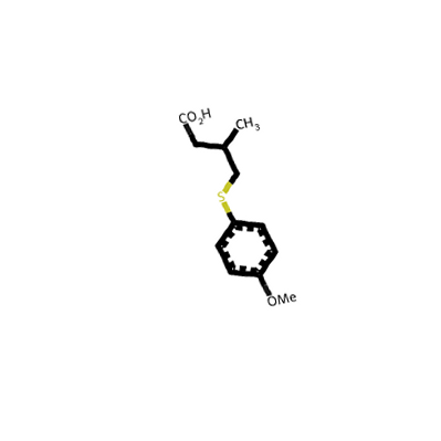 COc1ccc(SCC(C)CC(=O)O)cc1